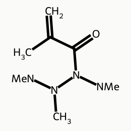 C=C(C)C(=O)N(NC)N(C)NC